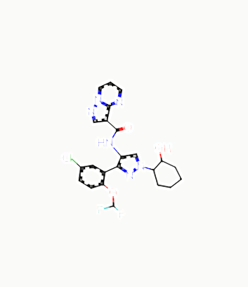 O=C(Nc1cn(C2CCCCC2O)nc1-c1cc(Cl)ccc1OC(F)F)c1cnn2cccnc12